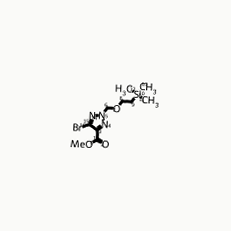 COC(=O)c1nn(COCC[Si](C)(C)C)nc1Br